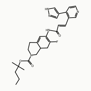 CCCC(C)(C)OC(=O)N1CCC2=CC(NC(=O)/C=C/c3cnccc3-c3cn[nH]c3)=C(F)CC2C1